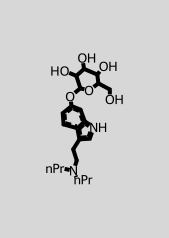 CCCN(CCC)CCc1c[nH]c2cc(OC3OC(CO)C(O)C(O)C3O)ccc12